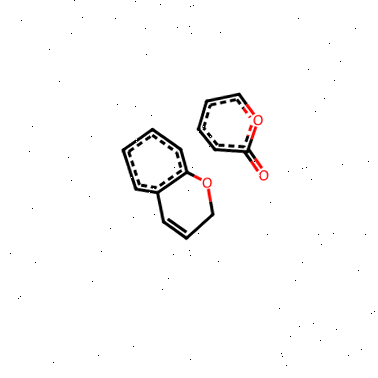 C1=Cc2ccccc2OC1.O=c1cccco1